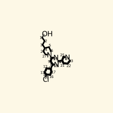 OCCCC1CCN(c2cc(-c3ccc(Cl)cc3)nc(-c3cccnc3)n2)CC1